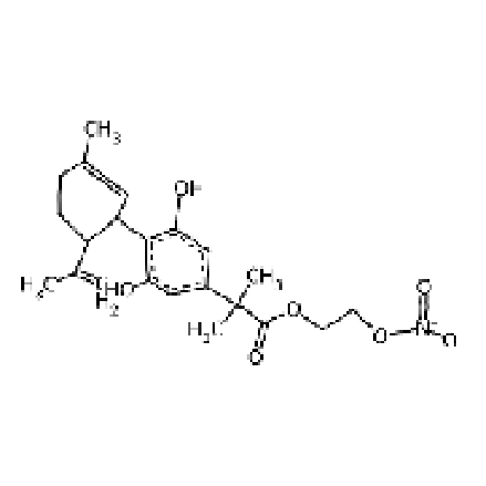 C=C(C)C1CCC(C)=CC1c1c(O)cc(C(C)(C)C(=O)OCCO[N+](=O)[O-])cc1O